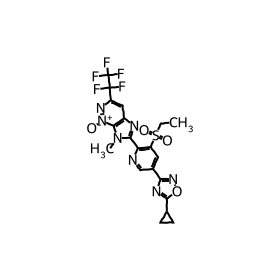 CCS(=O)(=O)c1cc(-c2noc(C3CC3)n2)cnc1-c1nc2cc(C(F)(F)C(F)(F)F)n[n+]([O-])c2n1C